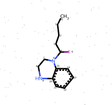 CCCCC(I)N1CCNc2ccccc21